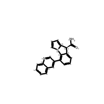 NC(=O)[C@H]1c2cccc(-c3cnc4ccccc4c3)c2-n2cccc21